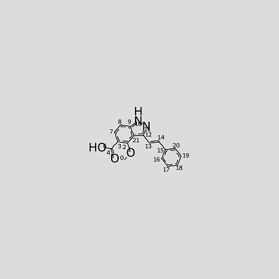 COc1c(C(=O)O)ccc2[nH]nc(/C=C/c3ccccc3)c12